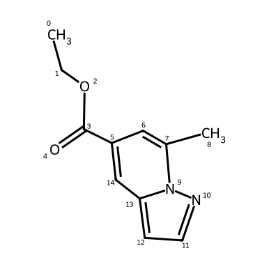 CCOC(=O)c1cc(C)n2nccc2c1